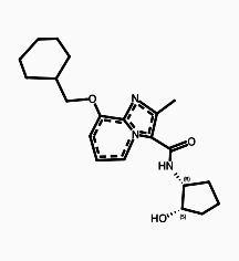 Cc1nc2c(OCC3CCCCC3)cccn2c1C(=O)N[C@@H]1CCC[C@@H]1O